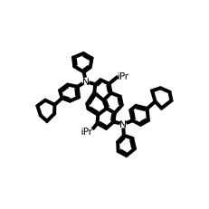 CC(C)c1cc(N(c2ccccc2)c2ccc(C3CCCCC3)cc2)c2ccc3c(C(C)C)cc(N(c4ccccc4)c4ccc(C5CCCCC5)cc4)c4ccc1c2c34